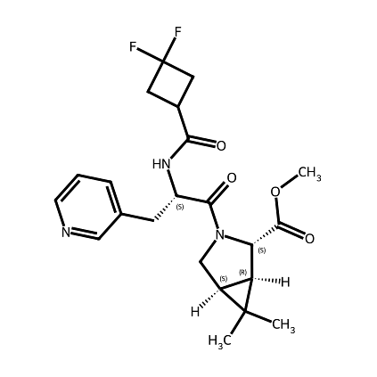 COC(=O)[C@@H]1[C@@H]2[C@H](CN1C(=O)[C@H](Cc1cccnc1)NC(=O)C1CC(F)(F)C1)C2(C)C